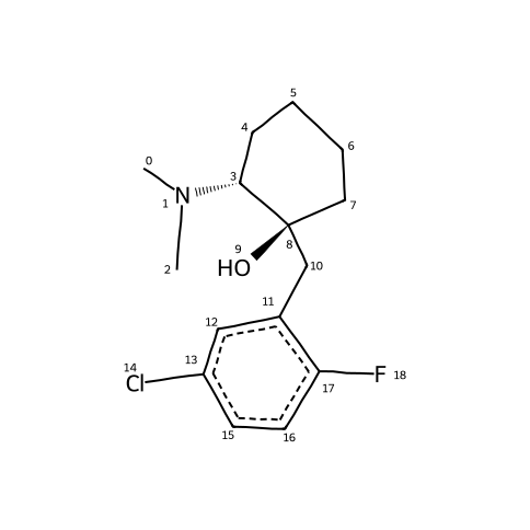 CN(C)[C@@H]1CCCC[C@]1(O)Cc1cc(Cl)ccc1F